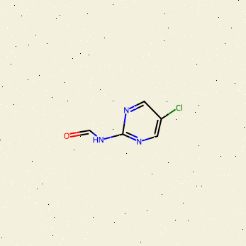 O=CNc1ncc(Cl)cn1